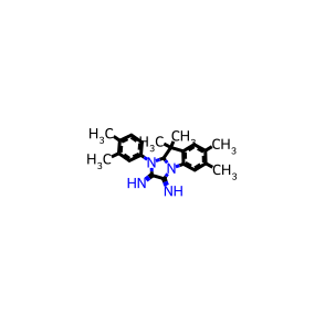 Cc1ccc(N2C(=N)C(=N)N3c4cc(C)c(C)cc4C(C)(C)C23)cc1C